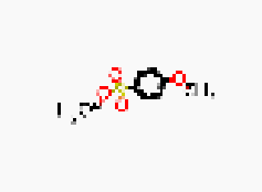 C=COS(=O)(=O)c1ccc(OC)cc1